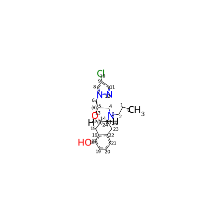 CCCN1C[C@H](Cn2cc(Cl)cn2)O[C@@H]2Cc3c(O)cccc3C[C@H]21